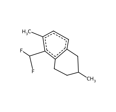 Cc1ccc2c(c1C(F)F)CCC(C)C2